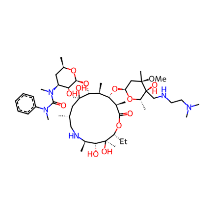 CC[C@H]1OC(=O)[C@H](C)[C@@H](O[C@H]2C[C@@](C)(OC)[C@](O)(CNCCN(C)C)[C@H](C)O2)[C@H](C)[C@@H](O[C@@H]2O[C@H](C)C[C@H](N(C)C(=O)N(C)c3ccccc3)[C@H]2O)[C@](C)(O)C[C@@H](C)CN[C@H](C)[C@@H](O)[C@]1(C)O